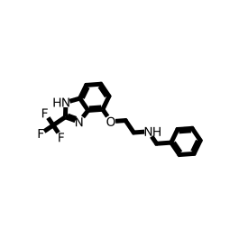 FC(F)(F)c1nc2c(OCCNCc3ccccc3)cccc2[nH]1